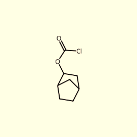 O=C(Cl)OC1CC2CCC1C2